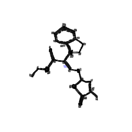 CCOC(=O)/C(=C/OC1C=C(C)C(=O)O1)N1CCc2ccccc21